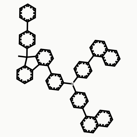 CC1(c2ccc(-c3ccccc3)cc2)c2ccccc2-c2c(-c3cccc(N(c4ccc(-c5cccc6ccccc56)cc4)c4ccc(-c5cccc6ccccc56)cc4)c3)cccc21